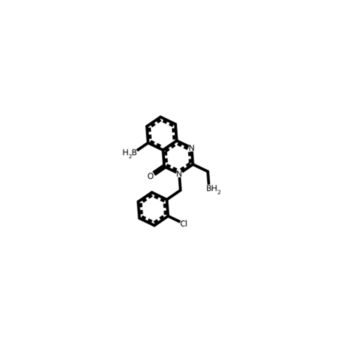 BCc1nc2cccc(B)c2c(=O)n1Cc1ccccc1Cl